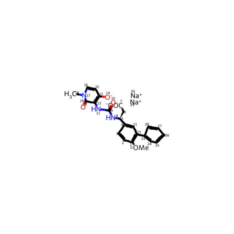 COc1ccc([C@H](CC(=O)[O-])NC(=O)Nc2c([O-])ccn(C)c2=O)cc1-c1ccccc1.[Na+].[Na+]